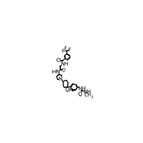 CNC(=O)Nc1ccc(C2(O)CCC(N3CC[C@@H](NC(=O)CNC(=O)c4cccc(C(F)(F)F)c4)C3)CC2)cc1